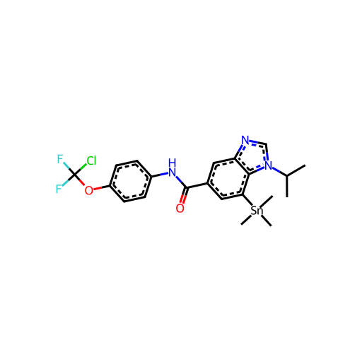 CC(C)n1cnc2cc(C(=O)Nc3ccc(OC(F)(F)Cl)cc3)c[c]([Sn]([CH3])([CH3])[CH3])c21